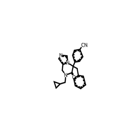 N#Cc1ccc(C2(Cc3ccccc3)C(=O)N(CC3CC3)Cc3cncn32)cc1